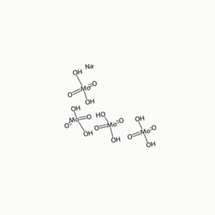 [Na].[O]=[Mo](=[O])([OH])[OH].[O]=[Mo](=[O])([OH])[OH].[O]=[Mo](=[O])([OH])[OH].[O]=[Mo](=[O])([OH])[OH]